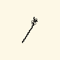 CCCCCCCCC=CCCCCCCCC(=O)OC1=C(C)OC(CC)C1=O